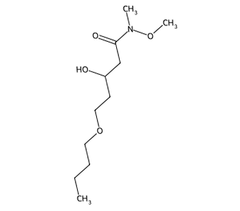 CCCCOCCC(O)CC(=O)N(C)OC